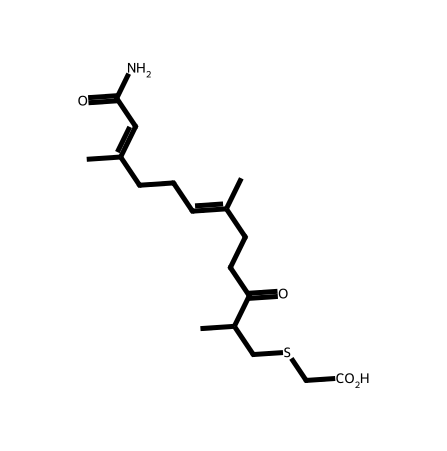 CC(=CC(N)=O)CCC=C(C)CCC(=O)C(C)CSCC(=O)O